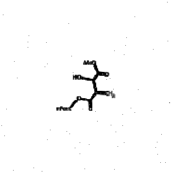 C=C(C(=O)OCCCCC)C(O)C(=O)OC